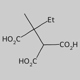 CCC(C)(C(=O)O)C(C(=O)O)C(=O)O